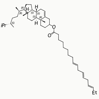 CCC=CCC=CCC=CCCCCCCCC(=O)OC1CC[C@@]2(C)C(=CC[C@H]3[C@@H]4CC[C@H]([C@H](C)CC[C@H](C)C(C)C)[C@@]4(C)CC[C@@H]32)C1